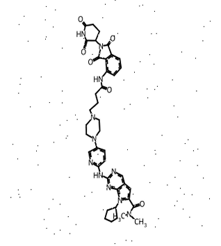 CN(C)C(=O)c1cc2cnc(Nc3ccc(N4CCN(CCCC(=O)Nc5cccc6c5C(=O)N(C5CCC(=O)NC5=O)C6=O)CC4)cn3)nc2n1C1CCCC1